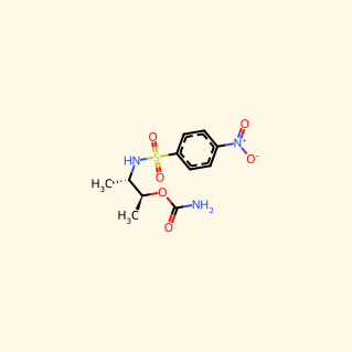 C[C@H](NS(=O)(=O)c1ccc([N+](=O)[O-])cc1)[C@H](C)OC(N)=O